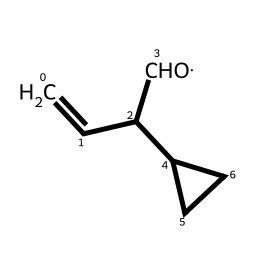 C=CC([C]=O)C1CC1